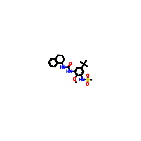 COc1c(NC(=O)N[C@H]2CCCc3ccccc32)cc(C(C)(C)C)cc1NS(C)(=O)=O